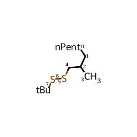 CCCCCCC(C)CSSC(C)(C)C